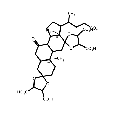 CC(CCC(=O)O)C1CCC2C3C(=O)CC4CC5(CC[C@]4(C)C3CC3(OC(C(=O)O)C(C(=O)O)O3)[C@]12C)OC(C(=O)O)C(C(=O)O)O5